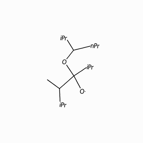 CCCC(OC([O])(C(C)C)C(C)C(C)C)C(C)C